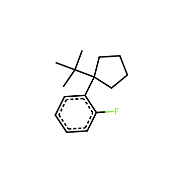 CC(C)(C)C1(c2ccccc2F)CCCC1